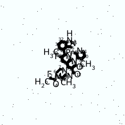 C=C(F)C(=O)N1CCN(c2c(C(=O)NC)c(=O)n(-c3c(C)ccnc3C(C)C)c3nc(-c4c(C)ccc5[nH]ncc45)c(F)cc23)C[C@H]1C